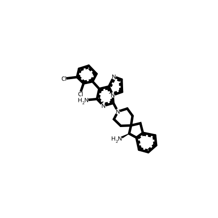 Nc1nc(N2CCC3(CC2)Cc2ccccc2[C@H]3N)n2ccnc2c1-c1cccc(Cl)c1Cl